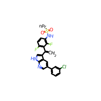 C=C(c1c(F)ccc(NS(=O)(=O)CCC)c1F)c1c[nH]c2ncc(-c3cccc(Cl)c3)cc12